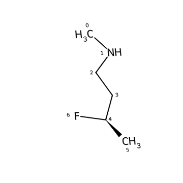 CNCC[C@@H](C)F